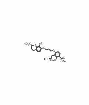 C=CCc1c(OCCCOc2ccc3c(c2CCC)OC(C(=O)O)CC3)ccc(C(=O)NC)c1OC